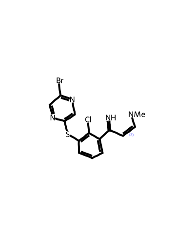 CN/C=C\C(=N)c1cccc(Sc2cnc(Br)cn2)c1Cl